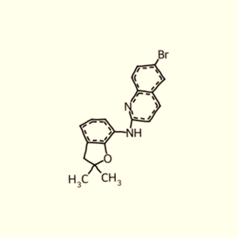 CC1(C)Cc2cccc(Nc3ccc4cc(Br)ccc4n3)c2O1